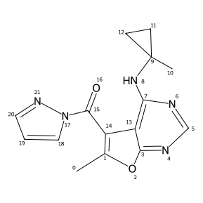 Cc1oc2ncnc(NC3(C)CC3)c2c1C(=O)n1cccn1